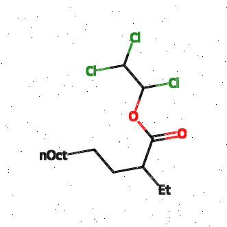 CCCCCCCCCCC(CC)C(=O)OC(Cl)C(Cl)Cl